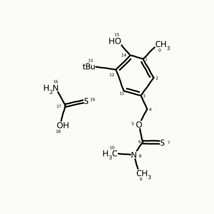 Cc1cc(COC(=S)N(C)C)cc(C(C)(C)C)c1O.NC(O)=S